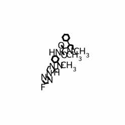 Cc1cc(-c2ccccc2)c(C(=O)C(=O)Nc2ccc3c(c2)N(C)C[C@@H]2CN(c4ncc(F)cn4)CCN32)n1C